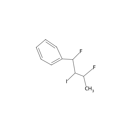 CC(F)C(I)C(F)c1ccccc1